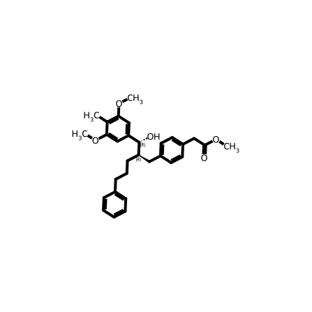 COC(=O)Cc1ccc(C[C@@H](CCCc2ccccc2)[C@@H](O)c2cc(OC)c(C)c(OC)c2)cc1